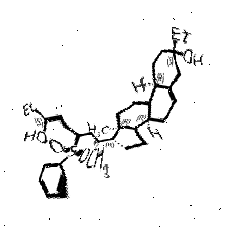 CC[C@H](O)CC(C[C@@H](C)[C@H]1CCC2[C@@H]3CC=C4C[C@](O)(CC)CC[C@@H]4C3CC[C@@]21C)S(=O)(=O)c1ccccc1